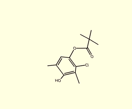 Cc1cc(OC(=O)C(C)(C)C)c(Cl)c(C)c1O